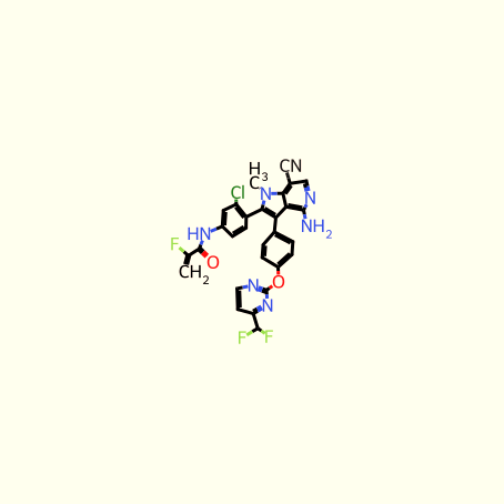 C=C(F)C(=O)Nc1ccc(-c2c(-c3ccc(Oc4nccc(C(F)F)n4)cc3)c3c(N)ncc(C#N)c3n2C)c(Cl)c1